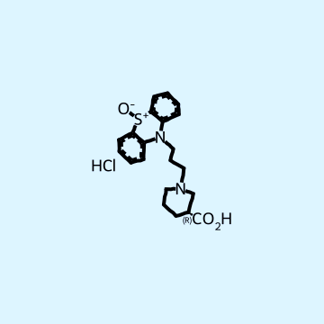 Cl.O=C(O)[C@@H]1CCCN(CCCN2c3ccccc3[S+]([O-])c3ccccc32)C1